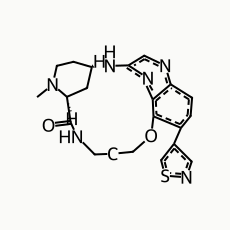 CN1CC[C@H]2C[C@H]1C(=O)NCCCOc1c(-c3cnsc3)ccc3ncc(nc13)N2